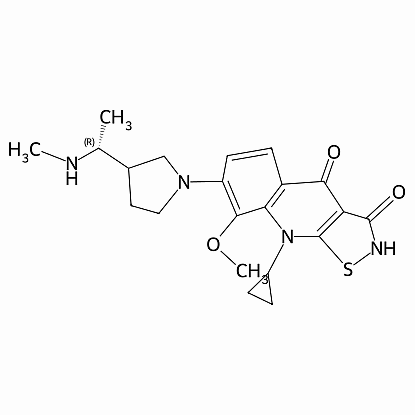 CN[C@H](C)C1CCN(c2ccc3c(=O)c4c(=O)[nH]sc4n(C4CC4)c3c2OC)C1